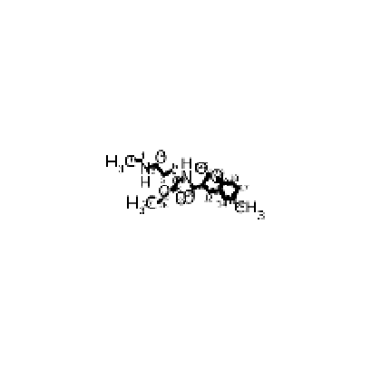 CCNC(=O)CC[C@H](NC(=O)c1cc2cc(C)ccc2oc1=O)C(=O)OCC